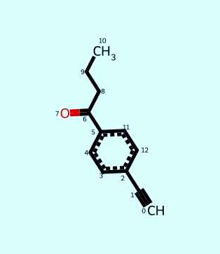 C#Cc1ccc(C(=O)CCC)cc1